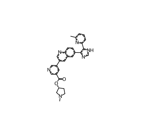 Cc1cccc(-c2[nH]cnc2-c2ccc3ncc(-c4cncc(C(=O)O[C@H]5CCN(C)C5)c4)cc3c2)n1